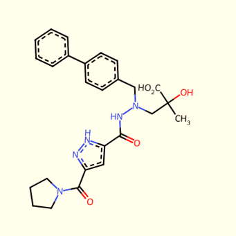 CC(O)(CN(Cc1ccc(-c2ccccc2)cc1)NC(=O)c1cc(C(=O)N2CCCC2)n[nH]1)C(=O)O